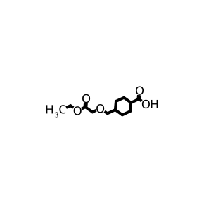 CCOC(=O)COCC1CCC(C(=O)O)CC1